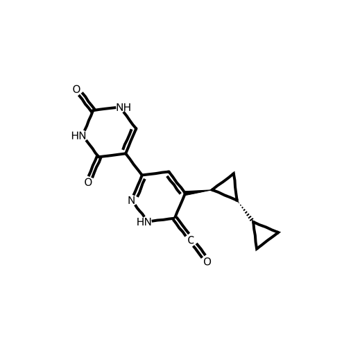 O=C=C1NN=C(c2c[nH]c(=O)[nH]c2=O)C=C1[C@H]1C[C@@H]1C1CC1